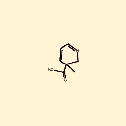 CC1(C(=O)O)C=CC=NC1